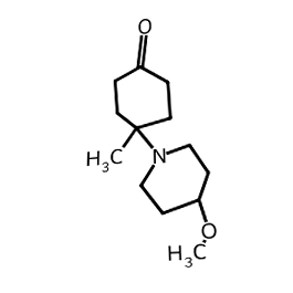 COC1CCN(C2(C)CCC(=O)CC2)CC1